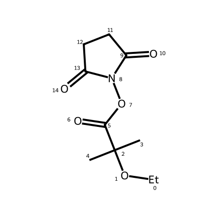 CCOC(C)(C)C(=O)ON1C(=O)CCC1=O